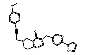 COc1ccc(C#CCN2CCc3ncn(Cc4ccc(-c5ccco5)cc4)c(=O)c3C2)cc1